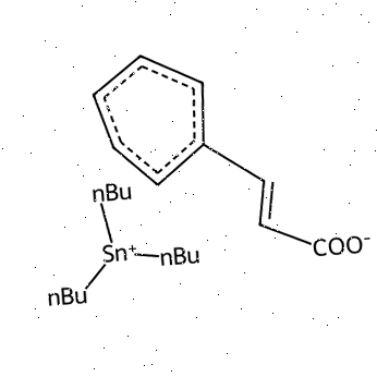 CCC[CH2][Sn+]([CH2]CCC)[CH2]CCC.O=C([O-])C=Cc1ccccc1